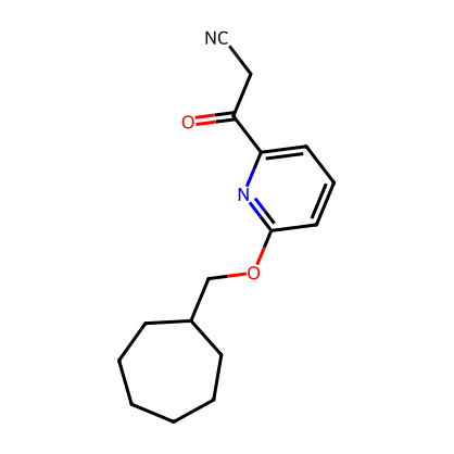 N#CCC(=O)c1cccc(OCC2CCCCCC2)n1